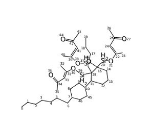 CCCCCCCC1CCC(C2CCCC(OCCC)([SiH2]OC(C)=CC(C)=O)C2([SiH2]OC(C)=CC(C)=O)[SiH2]OC(C)=CC(C)=O)CC1